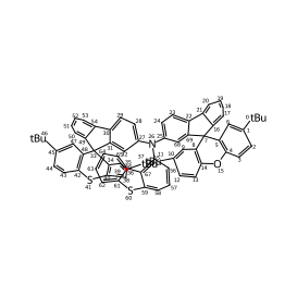 CC(C)(C)c1ccc2c(c1)C1(c3cc(C(C)(C)C)ccc3O2)c2ccccc2-c2ccc(N(c3ccc4c(c3)C3(c5cc(C(C)(C)C)ccc5Sc5ccc(C(C)(C)C)cc53)c3ccccc3-4)c3cccc4sc5ccccc5c34)cc21